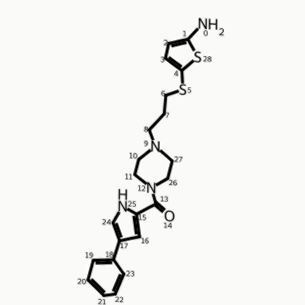 Nc1ccc(SCCCN2CCN(C(=O)c3cc(-c4ccccc4)c[nH]3)CC2)s1